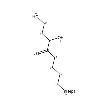 CCCCCCCCCCCC(=O)C(O)CCO